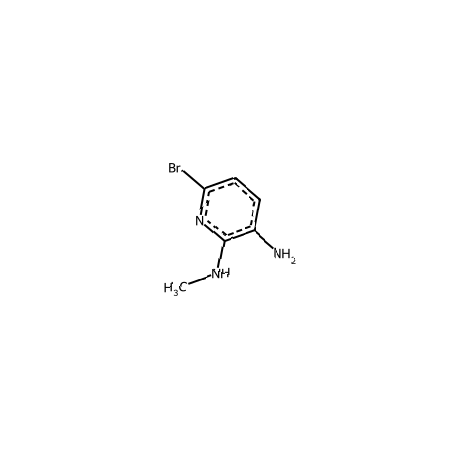 CNc1nc(Br)ccc1N